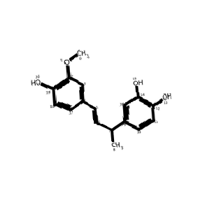 COc1cc(/C=C/C(C)c2ccc(O)c(O)c2)ccc1O